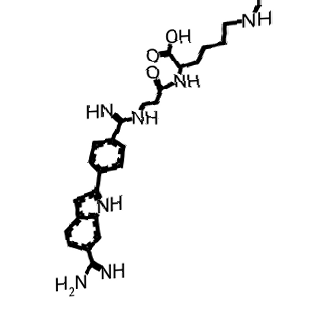 CNCCCCC(NC(=O)CCNC(=N)c1ccc(-c2cc3ccc(C(=N)N)cc3[nH]2)cc1)C(=O)O